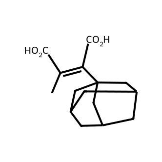 CC(C(=O)O)=C(C(=O)O)C12CC3CC(CC(C3)C1)C2